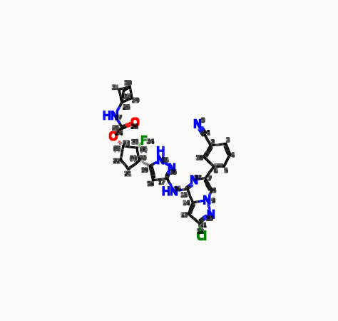 N#Cc1cccc(-c2cn3nc(Cl)cc3c(Nc3cc([C@@H]4CC[C@H](OC(=O)NC56CC(C5)C6)[C@@H]4F)[nH]n3)n2)c1